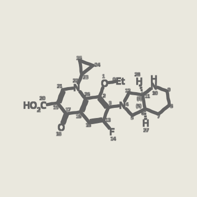 CCOc1c(N2C[C@@H]3CCCN[C@@H]3C2)c(F)cc2c(=O)c(C(=O)O)cn(C3CC3)c12